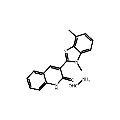 Cc1cccc2c1nc(-c1cc3ccccc3[nH]c1=O)n2C.NC=O